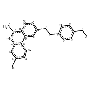 CCc1ccc(CCc2cnc3c(N)nc4cc(C)ccc4c3c2)cc1